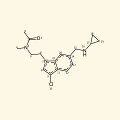 CC(=O)N(C)CCn1cc(Cl)c2ccc(CNC3CC3)cc21